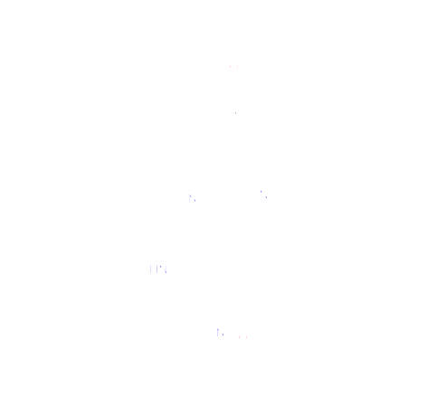 COC(=O)C(C)(C)c1ccc(N/C(=C2\C(=O)Nc3cc([N+](=O)[O-])ccc32)c2cccnc2)cc1